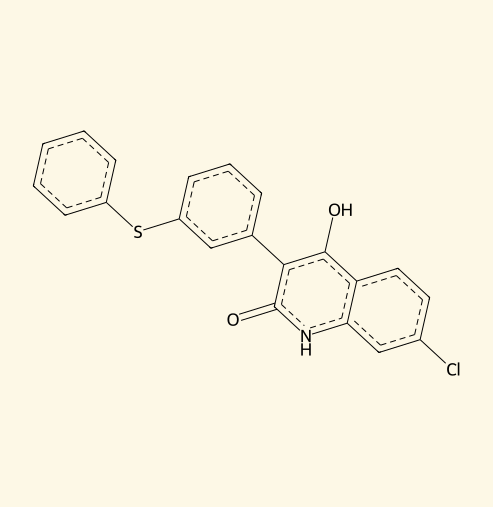 O=c1[nH]c2cc(Cl)ccc2c(O)c1-c1cccc(Sc2ccccc2)c1